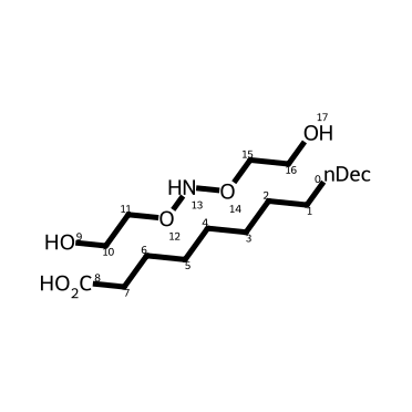 CCCCCCCCCCCCCCCCCC(=O)O.OCCONOCCO